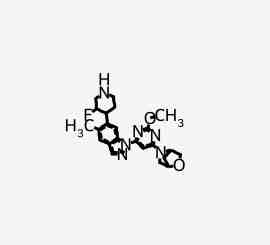 COc1nc(N2CC3CC2CO3)cc(-n2ncc3cc(C)c(C4CCNCC4F)cc32)n1